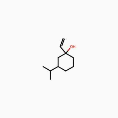 C=CC1(O)CCCC(C(C)C)C1